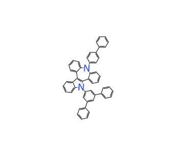 c1ccc(-c2ccc(N3c4ccccc4-c4c(n(-c5cc(-c6ccccc6)cc(-c6ccccc6)c5)c5ccccc45)-c4ccccc43)cc2)cc1